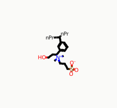 CCCC(CCC)c1cccc(C(CCO)[N+](C)(C)CCCS(=O)(=O)[O-])c1